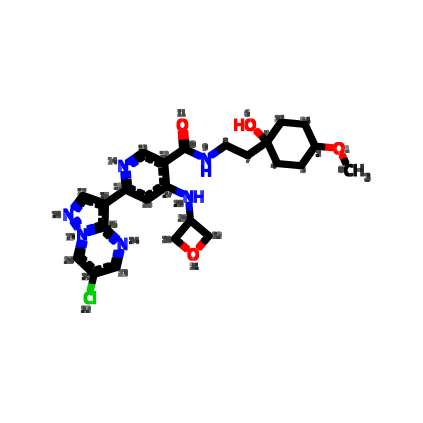 COC1CCC(O)(CCNC(=O)c2cnc(-c3cnn4cc(Cl)cnc34)cc2NC2COC2)CC1